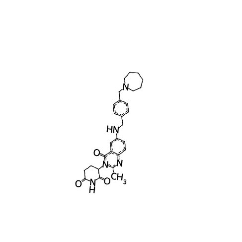 Cc1nc2ccc(NCc3ccc(CN4CCCCCC4)cc3)cc2c(=O)n1C1CCC(=O)NC1=O